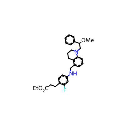 CCOC(=O)CCc1ccc(NCc2cccc3c2CCCN3CC(OC)c2ccccc2)cc1F